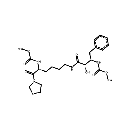 CC(C)(C)OC(=O)N[C@@H](CCCCNC(=O)[C@@H](O)[C@@H](Cc1ccccc1)NC(=O)OC(C)(C)C)C(=O)N1CCSC1